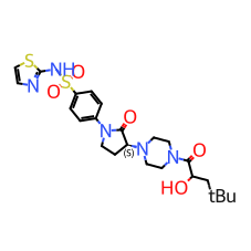 CC(C)(C)CC(O)C(=O)N1CCN([C@H]2CCN(c3ccc(S(=O)(=O)Nc4nccs4)cc3)C2=O)CC1